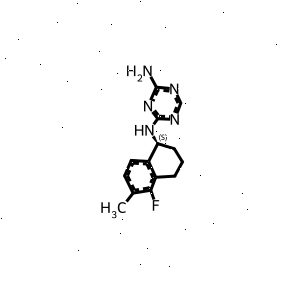 Cc1ccc2c(c1F)CCC[C@@H]2Nc1ncnc(N)n1